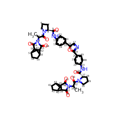 CC(C(=O)N1CCC[C@H]1C(=O)Nc1ccc(-c2cnc(-c3ccc(NC(=O)[C@@H]4CCCN4C(=O)C(C)N4C(=O)C5C6CCC(C6)C5C4=O)cc3)o2)cc1)N1C(=O)C2C3CCC(C3)C2C1=O